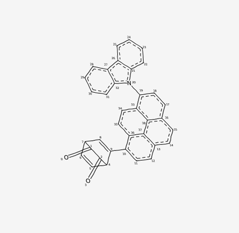 O=C1C(=O)C2C=CC1C=C2c1ccc2ccc3ccc(-n4c5ccccc5c5ccccc54)c4ccc1c2c34